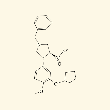 COc1ccc([C@@H]2CN(Cc3ccccc3)C[C@H]2[N+](=O)[O-])cc1OC1CCCC1